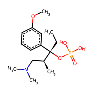 CC[C@](OP(=O)(O)O)(c1cccc(OC)c1)[C@@H](C)CN(C)C